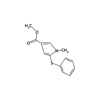 COC(=O)c1cc(Sc2ccccc2)n(C)c1